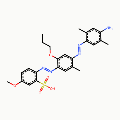 CCCOc1cc(N=Nc2cc(C)c(N)cc2C)c(C)cc1N=Nc1ccc(OC)cc1S(=O)(=O)O